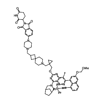 COCOc1cc(-c2ncc3c(N4CC5CCC(C5)C4)nc(OCC4(CN5CCC6(CC5)CC(CN5CCN(c7ccc8c(c7)C(=O)N(C7CCC(=O)NC7=O)C8=O)CC5)C6)CC4)nc3c2F)c2c(C#C[Si](C(C)C)(C(C)C)C(C)C)cccc2c1